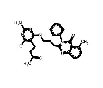 CC(=O)CCc1c(C)nc(N)nc1NCCCc1nc2cccc(C)c2c(=O)n1-c1ccccc1